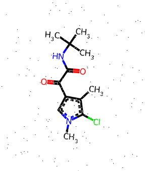 Cc1c(C(=O)C(=O)NC(C)(C)C)cn(C)c1Cl